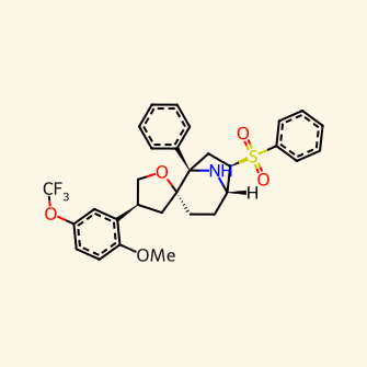 COc1ccc(OC(F)(F)F)cc1[C@H]1CO[C@]2(CC[C@@H]3N[C@@]2(c2ccccc2)C[C@H]3S(=O)(=O)c2ccccc2)C1